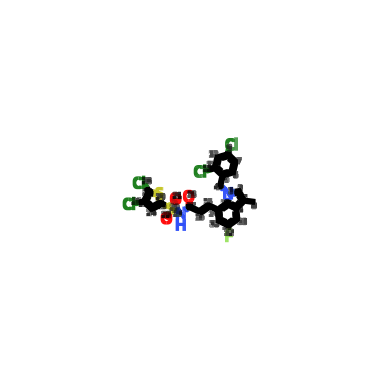 Cc1cn(Cc2ccc(Cl)cc2Cl)c2c(C=CC(=O)NS(=O)(=O)c3cc(Cl)c(Cl)s3)cc(F)cc12